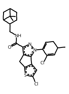 CC1C=C(Cl)C(n2nc(C(=O)NCC3CCC4CC3C4(C)C)c3c2-c2cc(Cl)sc2C3)=CC1